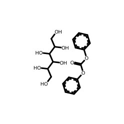 O=C(Oc1ccccc1)Oc1ccccc1.OCC(O)C(O)C(O)C(O)CO